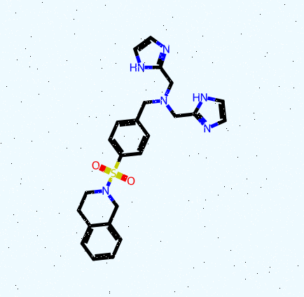 O=S(=O)(c1ccc(CN(Cc2ncc[nH]2)Cc2ncc[nH]2)cc1)N1CCc2ccccc2C1